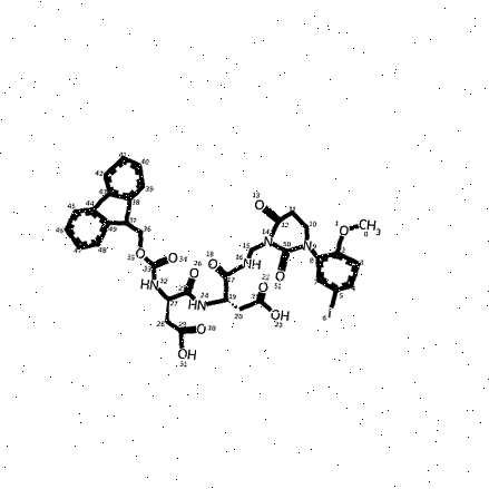 COc1ccc(I)cc1N1CCC(=O)N(CNC(=O)[C@H](CC(=O)O)NC(=O)[C@@H](CC(=O)O)NC(=O)OCC2c3ccccc3-c3ccccc32)C1=O